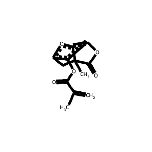 C=C(C)C(=O)Oc1c2oc3c1OC(=O)C3(C)C2